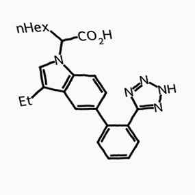 CCCCCCC(C(=O)O)n1cc(CC)c2cc(-c3ccccc3-c3nn[nH]n3)ccc21